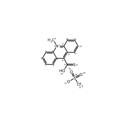 C[n+]1c2ccccc2c(C(O)=S)c2ccccc21.O=S(=O)([O-])C(F)(F)F